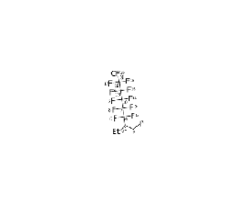 CCC(CI)C(F)(F)C(F)(F)C(F)(F)C(F)(F)C(F)(F)C(F)(F)F